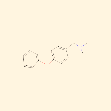 CN(C)Cc1ccc(Oc2ccccc2)cc1